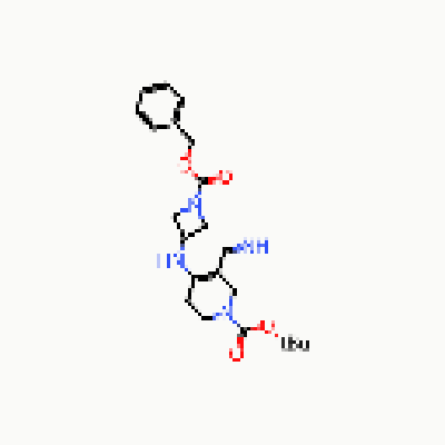 CC(C)(C)OC(=O)N1CCC(NC2CN(C(=O)OCc3ccccc3)C2)=C(C=N)C1